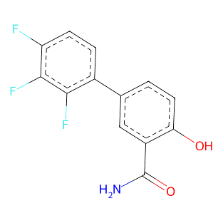 NC(=O)c1cc(-c2ccc(F)c(F)c2F)ccc1O